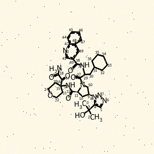 CC(C)(O)c1cnnn1[C@H]1C[C@@H](C(=O)NC2(C(=O)C(N)=O)CCOCC2)N(C(=O)C(CC2CCCCC2)NC(=O)c2cnc3ccccc3c2)C1